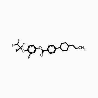 CCCC1CCC(c2ccc(C(=O)Oc3ccc(OC(F)(F)C(F)F)c(F)c3)cc2)CC1